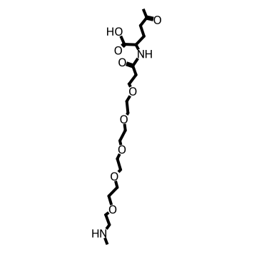 CNCCOCCOCCOCCOCCOCCC(=O)NC(CCC(C)=O)C(=O)O